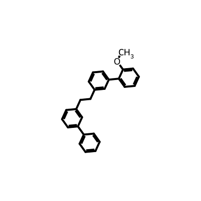 COc1ccccc1-c1cccc(CCc2cccc(-c3ccccc3)c2)c1